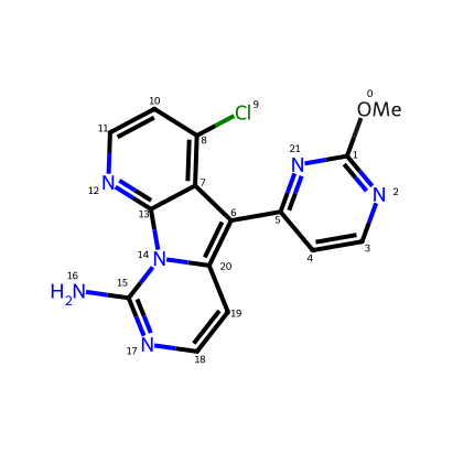 COc1nccc(-c2c3c(Cl)ccnc3n3c(N)nccc23)n1